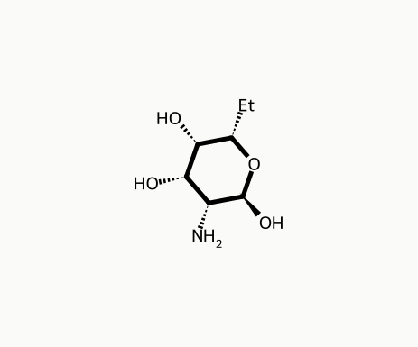 CC[C@@H]1O[C@@H](O)[C@H](N)[C@H](O)[C@@H]1O